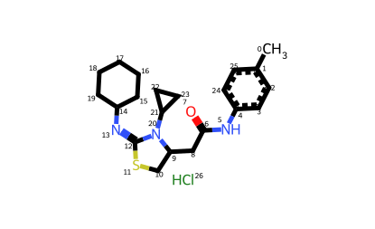 Cc1ccc(NC(=O)CC2CSC(=NC3CCCCC3)N2C2CC2)cc1.Cl